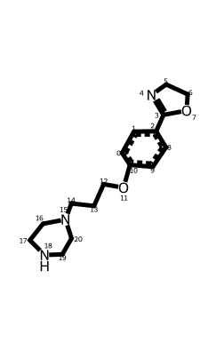 c1cc(C2=NCCO2)ccc1OCCCN1CCNCC1